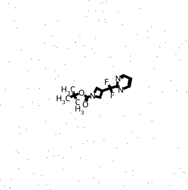 CC(C)(C)OC(=O)N1CC(C(F)(F)c2ncccn2)C1